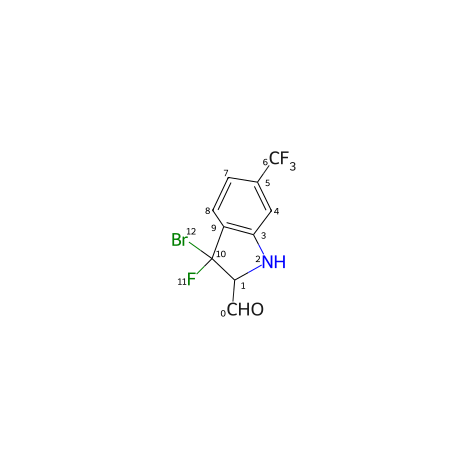 O=CC1Nc2cc(C(F)(F)F)ccc2C1(F)Br